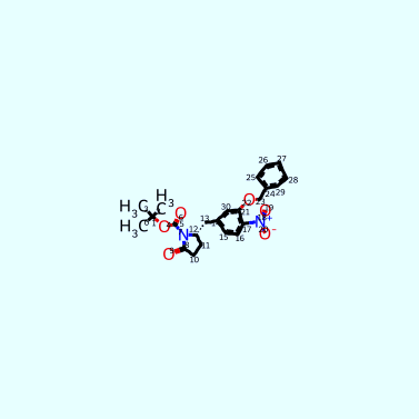 CC(C)(C)OC(=O)N1C(=O)CC[C@H]1Cc1ccc([N+](=O)[O-])c(OCc2ccccc2)c1